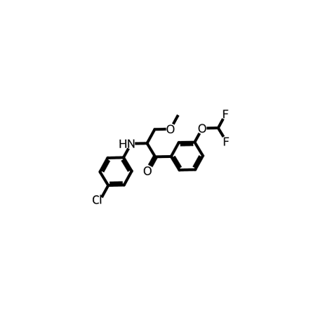 COCC(Nc1ccc(Cl)cc1)C(=O)c1cccc(OC(F)F)c1